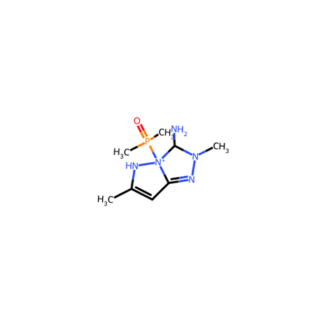 CC1=CC2=NN(C)C(N)[N+]2(P(C)(C)=O)N1